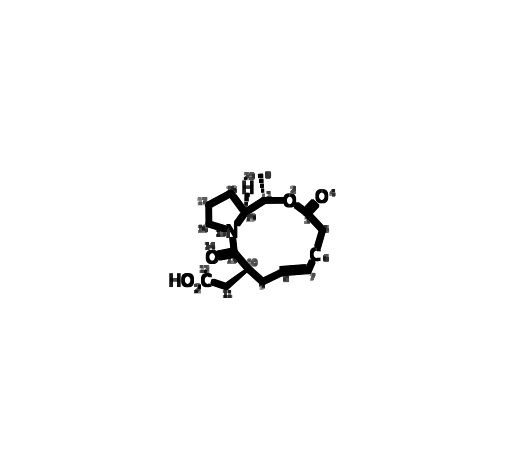 C[C@@H]1OC(=O)CC/C=C/C[C@@H](CC(=O)O)C(=O)N2CCC[C@@H]12